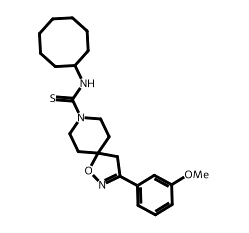 COc1cccc(C2=NOC3(CCN(C(=S)NC4CCCCCCC4)CC3)C2)c1